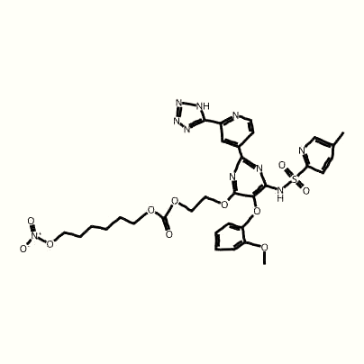 COc1ccccc1Oc1c(NS(=O)(=O)c2ccc(C)cn2)nc(-c2ccnc(-c3nnn[nH]3)c2)nc1OCCOC(=O)OCCCCCCO[N+](=O)[O-]